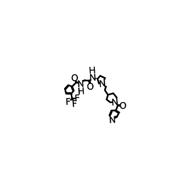 O=C(CNC(=O)c1cccc(C(F)(F)F)c1)N[C@@H]1CCN(CCC2CCN(C(=O)c3ccncc3)CC2)C1